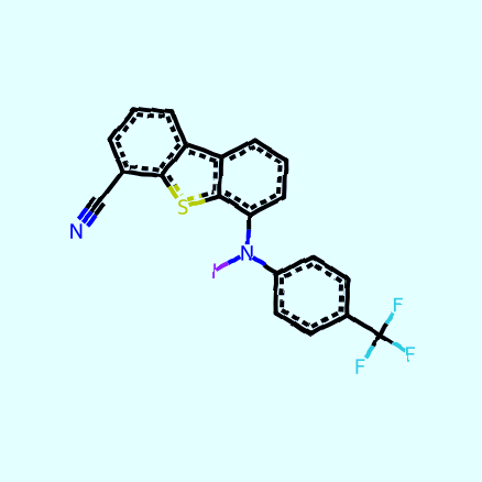 N#Cc1cccc2c1sc1c(N(I)c3ccc(C(F)(F)F)cc3)cccc12